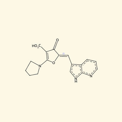 O=C(O)C1=C(N2CCCC2)O/C(=C\c2c[nH]c3ncccc23)C1=O